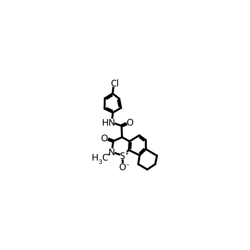 CN1C(=O)C(C(=O)Nc2ccc(Cl)cc2)c2ccc3c(c2[S+]1[O-])CCCC3